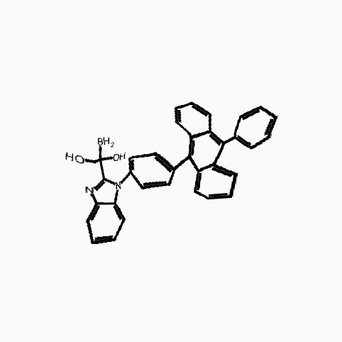 BC(O)(O)c1nc2ccccc2n1-c1ccc(-c2c3ccccc3c(-c3ccccc3)c3ccccc23)cc1